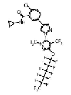 Cn1nc(OC(F)(F)C(F)(F)C(F)(F)C(F)(F)C(F)(F)C(F)(F)F)c(C(F)(F)F)c1-n1cc(-c2ccc(Cl)c(C(=O)NC3CC3)c2)cn1